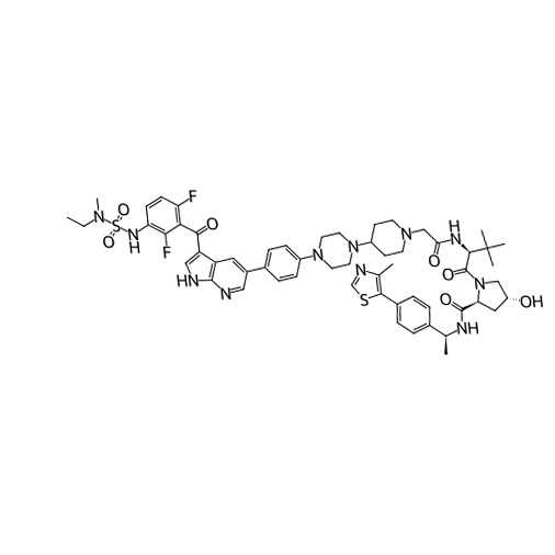 CCN(C)S(=O)(=O)Nc1ccc(F)c(C(=O)c2c[nH]c3ncc(-c4ccc(N5CCN(C6CCN(CC(=O)N[C@H](C(=O)N7C[C@H](O)C[C@H]7C(=O)N[C@@H](C)c7ccc(-c8scnc8C)cc7)C(C)(C)C)CC6)CC5)cc4)cc23)c1F